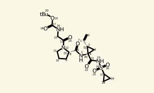 C=C[C@@H]1C[C@]1(NC(=O)[C@@H]1CCCN1C(=O)CNC(=O)OC(C)(C)C)C(=O)NS(=O)(=O)C1CC1